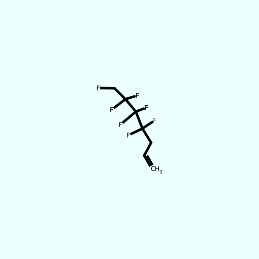 C=CCC(F)(F)C(F)(F)C(F)(F)CF